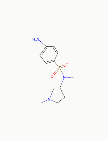 CN1CCC(N(C)S(=O)(=O)c2ccc(N)cc2)C1